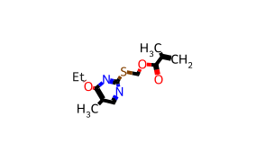 C=C(C)C(=O)OCSc1ncc(C)c(OCC)n1